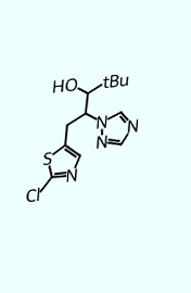 CC(C)(C)C(O)C(Cc1cnc(Cl)s1)n1cncn1